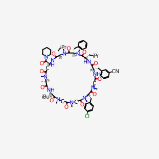 CC[C@H](C)[C@@H]1NC(=O)[C@H](C)N(C)C(=O)C[C@@H](C(=O)N2CCCCC2)NC(=O)[C@H](CC(C)C)N(C)C(=O)[C@H](Cc2ccccc2)N(C)C(=O)[C@H](CC(C)C)NC(=O)[C@H](Cc2cccc(C#N)c2)NC(=O)CN(C)C(=O)[C@H](Cc2ccc(Cl)cc2)N(C)C(=O)CN(C)C(=O)CN(C)C1=O